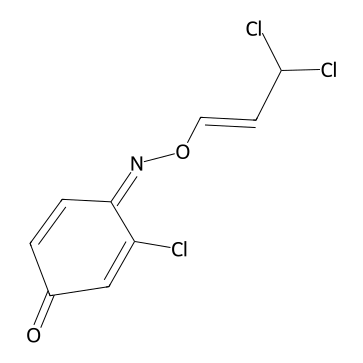 O=C1C=CC(=NOC=CC(Cl)Cl)C(Cl)=C1